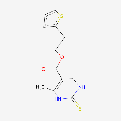 CC1=C(C(=O)OCCc2cccs2)CNC(=S)N1